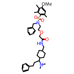 COc1cc(C)c(S(=O)(=O)N(CCOCC(=O)NCC2CCC(C(CCc3ccccc3)N(C)C)CC2)Cc2ccccc2)c(C)c1C